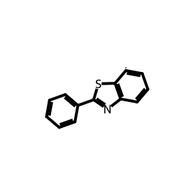 [c]1cccc2nc(-c3ccccc3)sc12